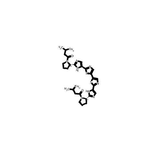 CC(C)CC(=O)N1CCC[C@H]1c1ncc(-c2ncc(-c3cnc(-c4cnc([C@@H]5CCCN5C(=O)CC(C)C)[nH]4)s3)s2)[nH]1